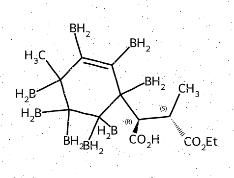 BC1=C(B)C(B)([C@H](C(=O)O)[C@H](C)C(=O)OCC)C(B)(B)C(B)(B)C1(B)C